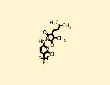 CC(C)CCC1C(=O)N(Nc2ccc(C(F)(F)F)c(Cl)n2)C(=O)C1C